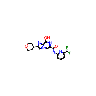 O=C(Nc1cccc(C(F)F)n1)c1cn2cc(C3CCOCC3)nc2c(O)n1